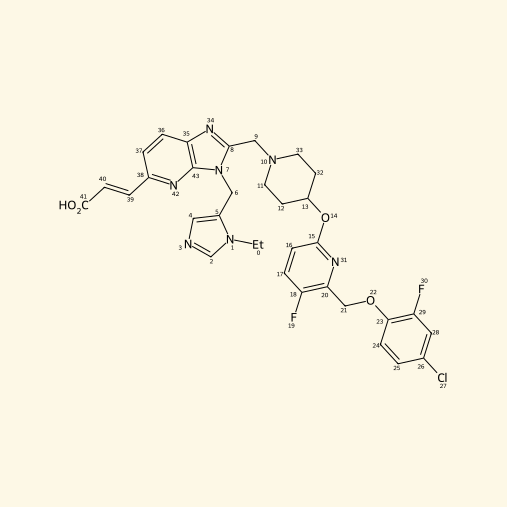 CCn1cncc1Cn1c(CN2CCC(Oc3ccc(F)c(COc4ccc(Cl)cc4F)n3)CC2)nc2ccc(/C=C/C(=O)O)nc21